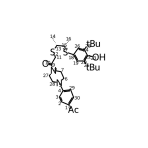 CC(=O)c1ccc(N2CCN(C(=O)CS[C@H](C)[C@H](C)Sc3cc(C(C)(C)C)c(O)c(C(C)(C)C)c3)CC2)cc1